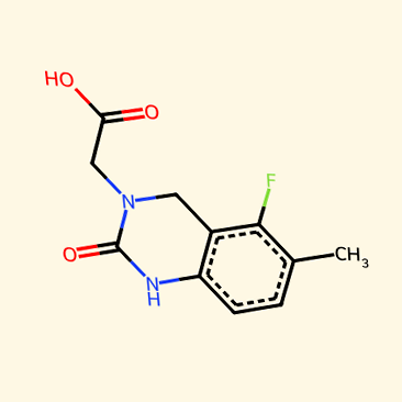 Cc1ccc2c(c1F)CN(CC(=O)O)C(=O)N2